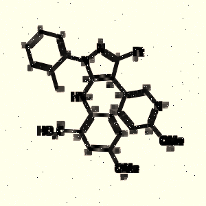 CCc1nn(-c2ccccc2C)c(Nc2ccc(OC)cc2C(=O)O)c1-c1ccc(OC)nc1